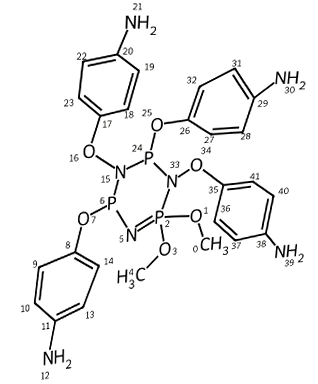 COP1(OC)=NP(Oc2ccc(N)cc2)N(Oc2ccc(N)cc2)P(Oc2ccc(N)cc2)N1Oc1ccc(N)cc1